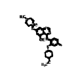 CO[C@H]1CC[C@H](Oc2cc(F)ccc2Nc2ncnc3cc(N=S4(=O)CCN(C)CC4)cc(C)c23)CC1